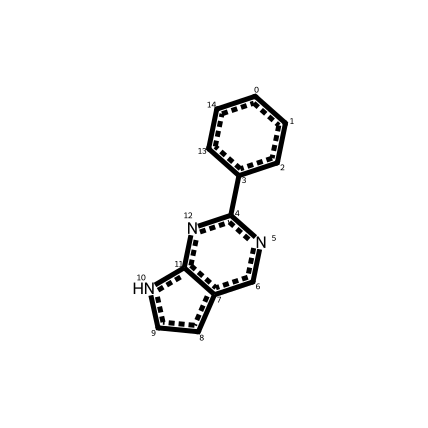 c1ccc(-c2ncc3cc[nH]c3n2)cc1